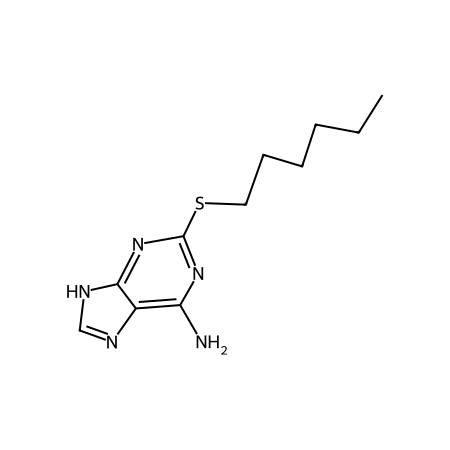 CCCCCCSc1nc(N)c2nc[nH]c2n1